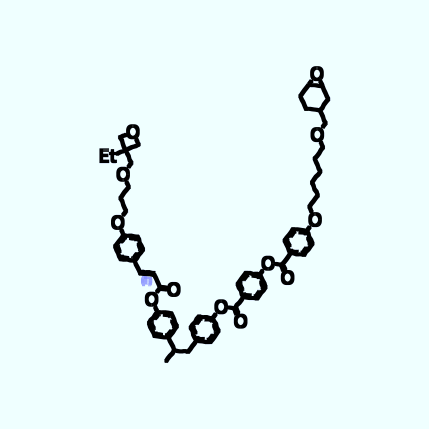 CCC1(COCCCOc2ccc(/C=C/C(=O)Oc3ccc(C(C)Cc4ccc(OC(=O)c5ccc(OC(=O)c6ccc(OCCCCCCOCC7CCC8OC8C7)cc6)cc5)cc4)cc3)cc2)COC1